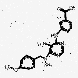 COc1ccc(CN(N)c2ncnc(Nc3cccc(C(=O)O)c3)c2N)cc1